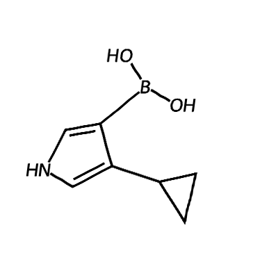 OB(O)c1c[nH]cc1C1CC1